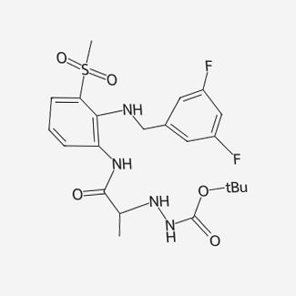 CC(NNC(=O)OC(C)(C)C)C(=O)Nc1cccc(S(C)(=O)=O)c1NCc1cc(F)cc(F)c1